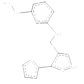 COc1cccc(NCc2c[nH]nc2-c2cccs2)c1